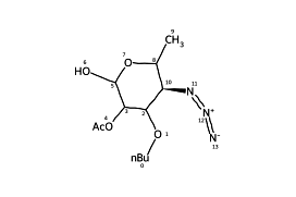 CCCCOC1C(OC(C)=O)C(O)OC(C)[C@H]1N=[N+]=[N-]